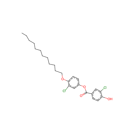 CCCCCCCCCCCCOc1ccc(OC(=O)c2ccc(O)c(Cl)c2)cc1Cl